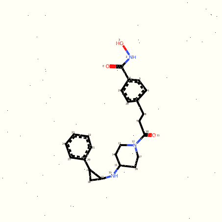 O=C(NO)c1ccc(CCC(=O)N2CCC(NC3CC3c3ccccc3)CC2)cc1